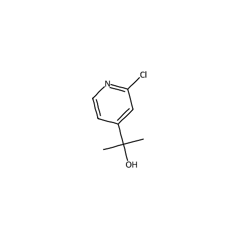 CC(C)(O)c1ccnc(Cl)c1